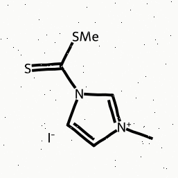 CSC(=S)n1cc[n+](C)c1.[I-]